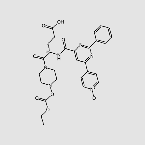 CCOC(=O)ON1CCN(C(=O)[C@H](CCC(=O)O)NC(=O)c2cc(-c3cc[n+]([O-])cc3)nc(-c3ccccc3)n2)CC1